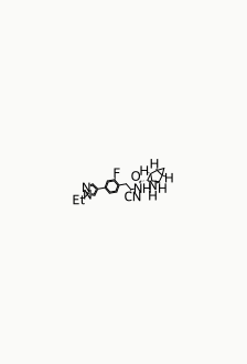 CCn1cc(-c2ccc(C[C@@H](C#N)NC(=O)[C@H]3N[C@H]4C[C@@H]3[C@@H]3C[C@@H]34)c(F)c2)cn1